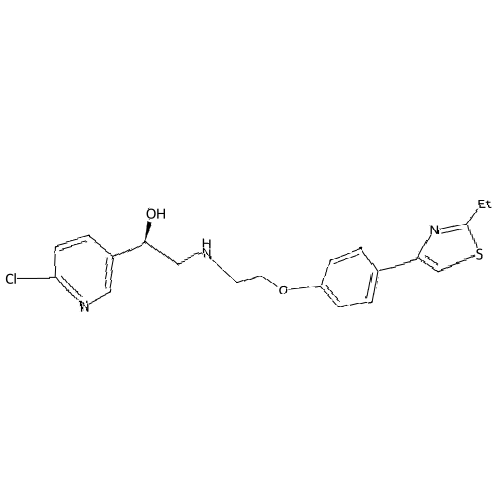 CCc1nc(-c2ccc(OCCNC[C@H](O)c3ccc(Cl)nc3)cc2)cs1